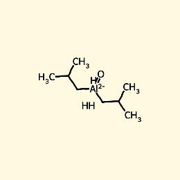 CC(C)[CH2][AlH-2](=[O])[CH2]C(C)C.[HH]